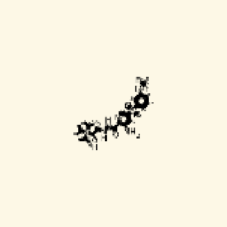 CC(C)[Si](C(C)C)(C(C)C)C(O)C(=O)NNC(=O)c1ncc(S(=O)(=O)c2cccc(OC(F)(F)F)c2)cc1N